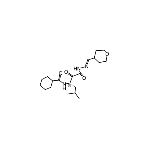 CC(C)C[C@H](NC(=O)C1CCCCC1)C(=O)C(=O)NN=CC1CCOCC1